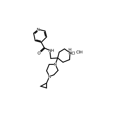 Cl.Cl.O=C(NCC1(N2CCN(C3CC3)CC2)CCNCC1)c1ccncc1